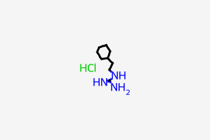 Cl.N=C(N)NCCC1CCCCC1